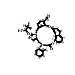 CN1Cc2cncn2Cc2ccc(C#N)c(c2)Oc2ccc3cccc(c3c2)NC(=O)[C@@H]1Cc1ccccc1.O=C(O)C(F)(F)F